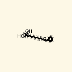 CC(CO)(CO)CCCCCCCCCOCc1ccccc1